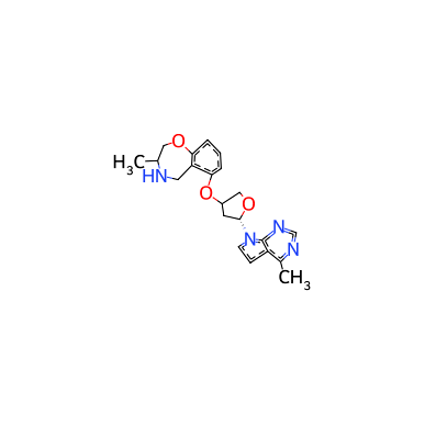 Cc1ncnc2c1ccn2[C@@H]1CC(Oc2cccc3c2CNC(C)CO3)CO1